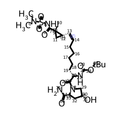 CN(C)S(=O)(=O)NC(=O)[C@@]1(I)C[C@H]1/C=C\CCCCC[C@H](NC(=O)OC(C)(C)C)C(=O)N1C[C@H](O)C[C@H]1C(N)=O